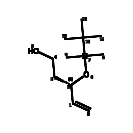 C=C[C@H](CCO)O[Si](C)(C)C(C)(C)C